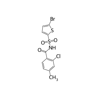 Cc1ccc(C(=O)NS(=O)(=O)c2ccc(Br)s2)c(Cl)c1